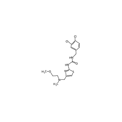 COCCN(C)Cc1csc(NC(=O)NCc2ccc(Cl)c(Cl)c2)n1